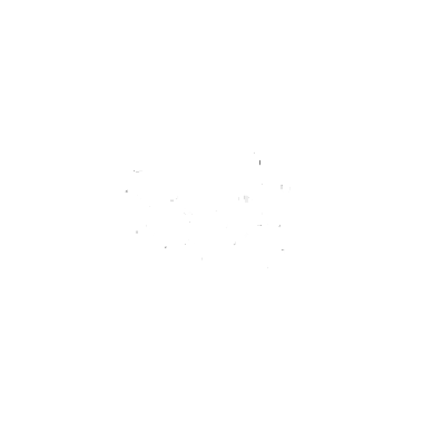 O=C(Nc1ccccc1-c1cc2cc(CBr)ccc2o1)C(F)(F)F